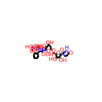 O=C(N[C@]1(CO)O[C@H](OC[C@H]2O[C@@H](n3ccc(=O)[nH]c3=O)[C@H](O)[C@@H]2O)C[C@@H](O)[C@@H]1O)C(c1ccccc1)P(=O)(O)OP(=O)(O)O